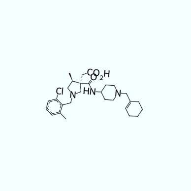 Cc1cccc(Cl)c1CN1C[C@@H](C)[C@@](CC(=O)O)(C(=O)NC2CCN(CC3=CCCCC3)CC2)C1